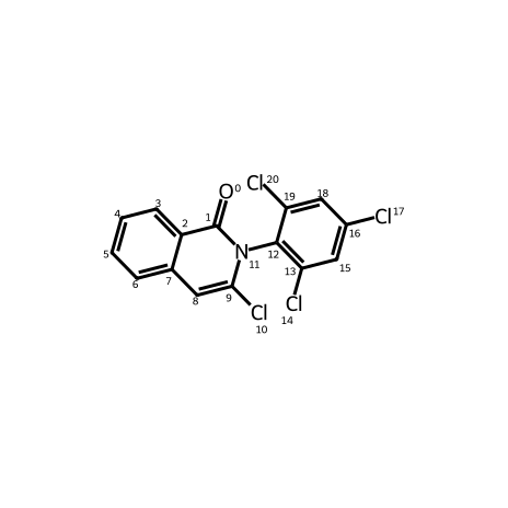 O=c1c2ccccc2cc(Cl)n1-c1c(Cl)cc(Cl)cc1Cl